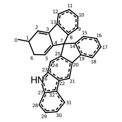 CC1C=C2C(=CC1)C1(c3ccccc32)c2ccccc2-c2cc3c(cc21)[nH]c1ccccc13